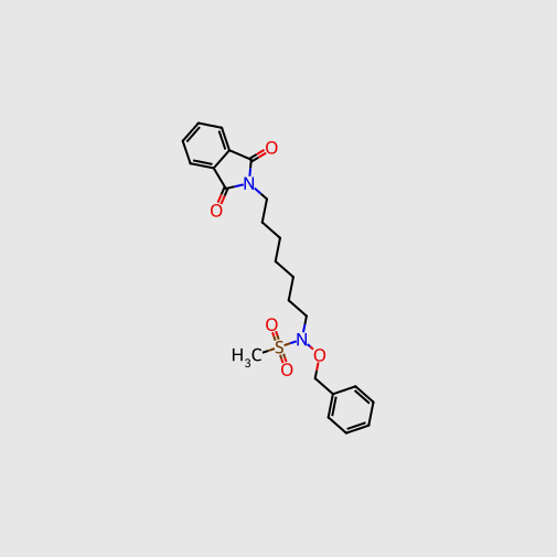 CS(=O)(=O)N(CCCCCCCN1C(=O)c2ccccc2C1=O)OCc1ccccc1